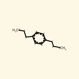 C[CH]Cc1ccc(C[CH]C)cc1